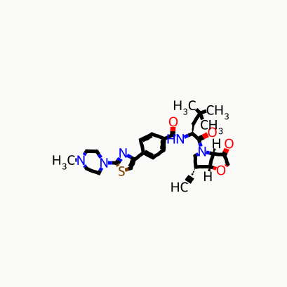 C#C[C@@H]1CN(C(=O)[C@H](CC(C)(C)C)NC(=O)c2ccc(-c3csc(N4CCN(C)CC4)n3)cc2)[C@@H]2C(=O)CO[C@H]12